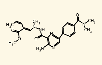 C/C=C\C(=C/N(C)NC(=O)c1nc(-c2ccc(C(=O)N(C)C)cc2)cnc1N)C(=O)OC